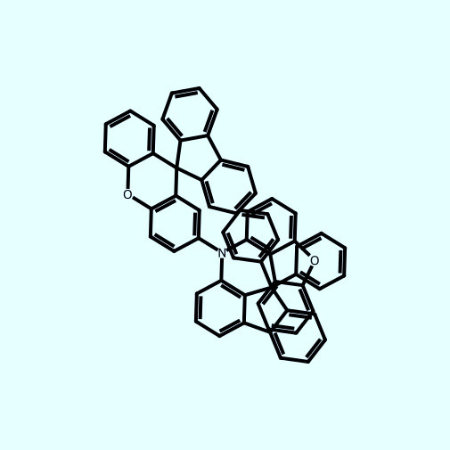 c1ccc(C2(c3ccccc3)c3ccccc3-c3cccc(N(c4ccc5c(c4)C4(c6ccccc6O5)c5ccccc5-c5ccccc54)c4cccc5oc6ccccc6c45)c32)cc1